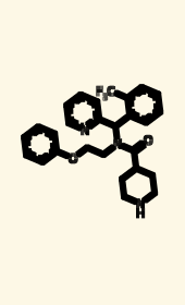 O=C(C1CCNCC1)N(CCOc1ccccc1)C(c1ccccn1)c1ccccc1C(F)(F)F